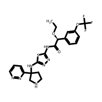 CCO[C@H](C(=O)Nc1nnc(NC2(c3cccnn3)CCNC2)s1)c1cccc(OC(F)(F)F)c1